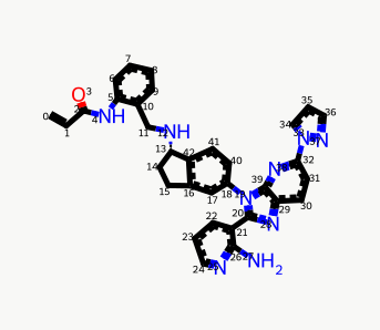 C=CC(=O)Nc1ccccc1CN[C@H]1CCc2cc(-n3c(-c4cccnc4N)nc4ccc(-n5cccn5)nc43)ccc21